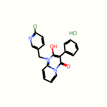 Cl.O=c1c(-c2ccccc2)c(O)[n+](Cc2ccc(Cl)nc2)c2ccccn12